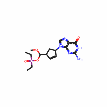 CCP(=O)(CC)OC(OC)C1C=CC(n2cnc3c(=O)[nH]c(N)nc32)C1